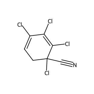 N#CC1(Cl)CC=C(Cl)C(Cl)=C1Cl